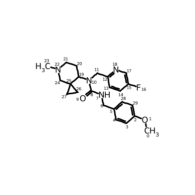 COc1ccc(CNC(=O)N(Cc2ccc(F)cn2)C2CCN(C)CC23CC3)cc1